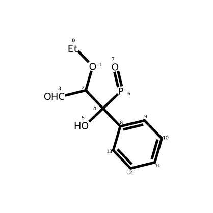 CCOC(C=O)C(O)(P=O)c1ccccc1